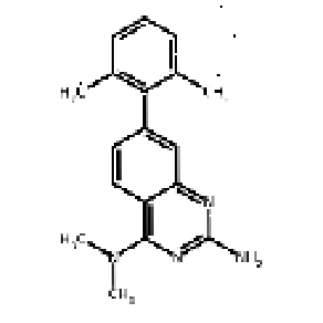 Cc1cccc(C)c1-c1ccc2c(N(C)C)nc(N)nc2c1